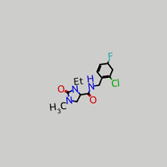 CCN1C(=O)N(C)CC1C(=O)NCC1=C(Cl)CC(F)C=C1